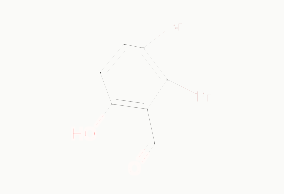 O=Cc1c(O)ccc(Br)c1Br